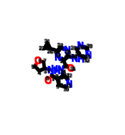 O=C(NC1CCOC1)c1ccncc1NC(=O)c1nc(C2CC2)cnc1Nc1cncnc1